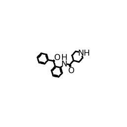 O=C(c1ccccc1)c1ccccc1NC(=O)C1CCNCC1